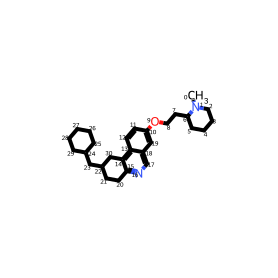 CN1CCCCC1CCOc1ccc2c3c(ncc2c1)CCC(CC1CCCCC1)C3